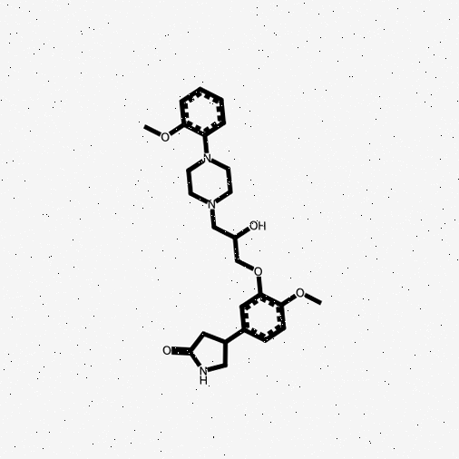 COc1ccc(C2CNC(=O)C2)cc1OCC(O)CN1CCN(c2ccccc2OC)CC1